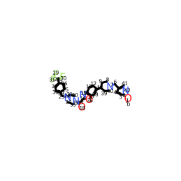 COc1ccc(CN2CCC(c3ccc4nc(C(=O)N5CCN(Cc6ccc(C(F)(F)F)cc6)CC5)oc4c3)CC2)cn1